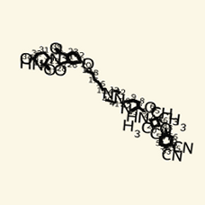 CC1(C)[C@H](NC(=O)c2ccc(N3CCN(CCCCCOc4ccc5c(c4)C(=O)N(C4CCC(=O)NC4=O)C5=O)CC3)nc2)C(C)(C)[C@H]1Oc1ccc(C#N)c(C#N)c1